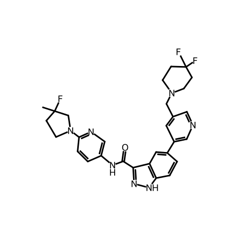 CC1(F)CCN(c2ccc(NC(=O)c3n[nH]c4ccc(-c5cncc(CN6CCC(F)(F)CC6)c5)cc34)cn2)C1